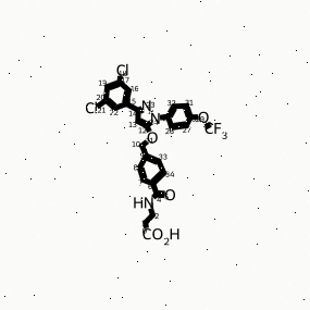 O=C(O)CCNC(=O)c1ccc(COc2cc(-c3cc(Cl)cc(Cl)c3)nn2-c2ccc(OC(F)(F)F)cc2)cc1